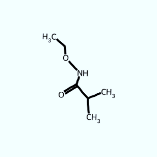 CCONC(=O)C(C)C